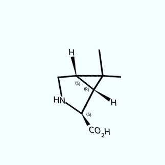 CC1(C)[C@@H]2[C@@H](C(=O)O)NC[C@@H]21